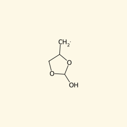 [CH2]C1COC(O)O1